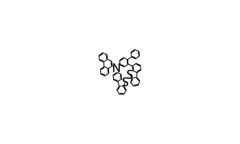 c1ccc(-c2ccc(N(c3ccc4c(c3)sc3ccccc34)c3cc4ccccc4c4ccccc34)cc2-c2cccc3c2sc2ccccc23)cc1